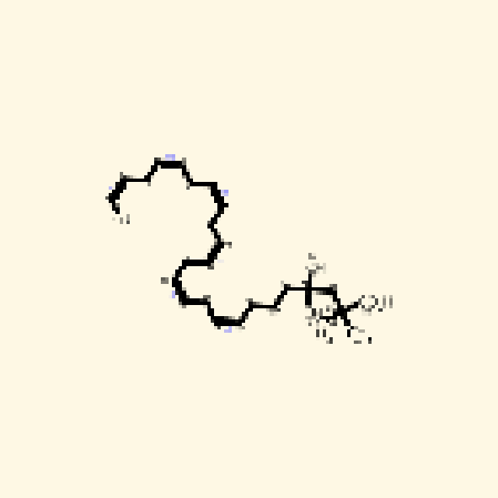 CC/C=C\C/C=C\C/C=C\C/C=C\C/C=C\C/C=C\CCCC(C)(C)CC(C)(C)C(=O)O